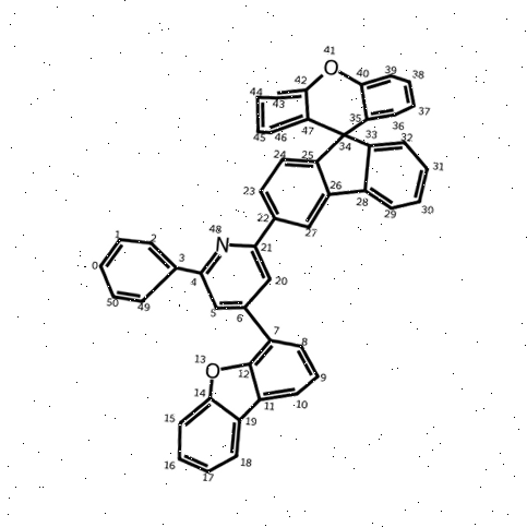 c1ccc(-c2cc(-c3cccc4c3oc3ccccc34)cc(-c3ccc4c(c3)-c3ccccc3C43c4ccccc4Oc4ccccc43)n2)cc1